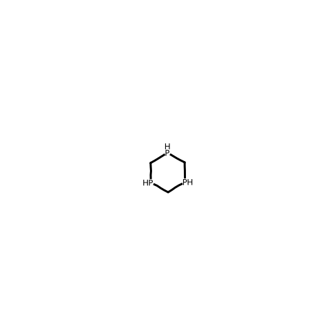 C1PCPCP1